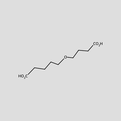 O=C(O)CCCCOCCCC(=O)O